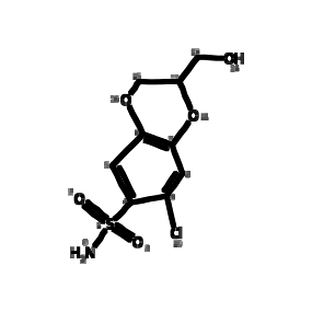 NS(=O)(=O)c1cc2c(cc1Cl)OC(CO)CO2